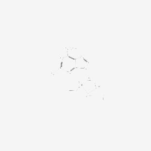 CNc1nc(N)nc2c1ncn2[C@@H]1O[C@H](C[O])[C@@H](O)[C@]1(F)CF